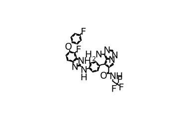 Nc1ncnn2cc(C(=O)NCC(F)(F)F)c(-c3ccc(Nc4nc5ccc(Oc6ccc(F)cc6)c(F)c5[nH]4)cc3)c12